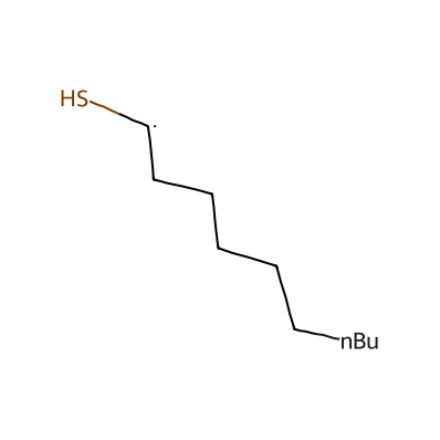 CCCCCCCCC[CH]S